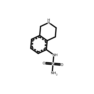 NS(=O)(=O)Nc1cccc2c1CCNC2